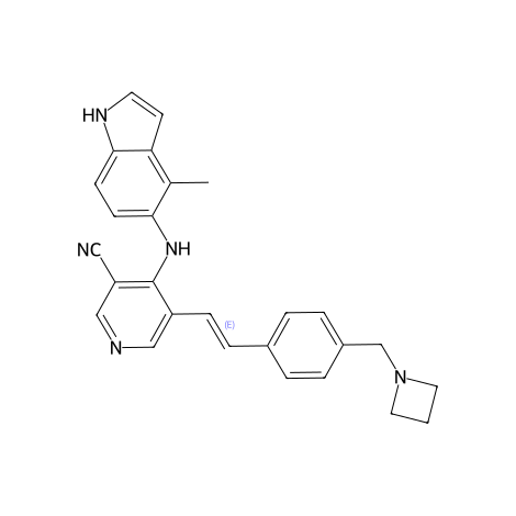 Cc1c(Nc2c(C#N)cncc2/C=C/c2ccc(CN3CCC3)cc2)ccc2[nH]ccc12